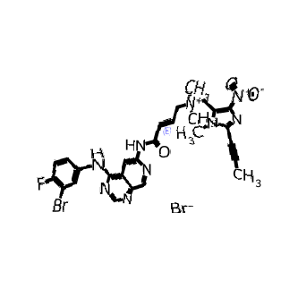 CC#Cc1nc([N+](=O)[O-])c(C[N+](C)(C)C/C=C/C(=O)Nc2cc3c(Nc4ccc(F)c(Br)c4)ncnc3cn2)n1C.[Br-]